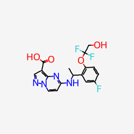 CC(Nc1ccn2ncc(C(=O)O)c2n1)c1cc(F)ccc1OC(F)(F)CO